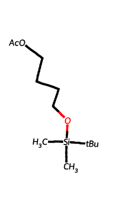 CC(=O)OCCCCO[Si](C)(C)C(C)(C)C